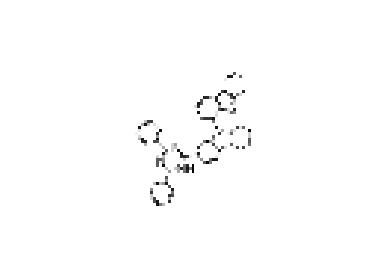 C1=CCC2C(=C1)N(C1CC=Cc3c1sc1c3C=CCC1)c1cc(C3=NC(c4ccccc4)=NC(c4ccccc4)N3)ccc12